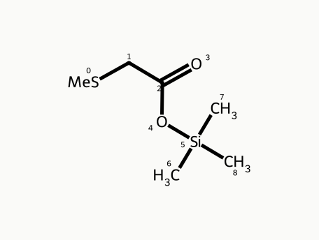 CSCC(=O)O[Si](C)(C)C